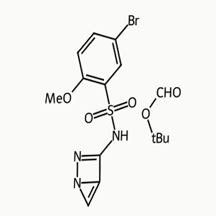 CC(C)(C)OC=O.COc1ccc(Br)cc1S(=O)(=O)Nc1nn2cc1-2